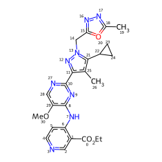 CCOC(=O)c1cnccc1Nc1nc(-c2nn(Cc3nnc(C)o3)c(C3CC3)c2C)ncc1OC